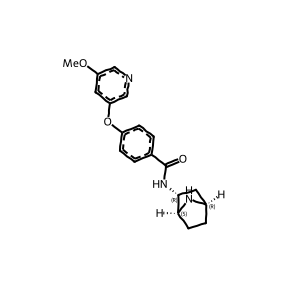 COc1cncc(Oc2ccc(C(=O)N[C@@H]3C[C@H]4CC[C@@H]3N4)cc2)c1